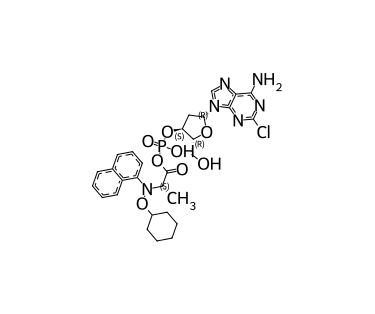 C[C@@H](C(=O)OP(=O)(O)O[C@H]1C[C@H](n2cnc3c(N)nc(Cl)nc32)O[C@@H]1CO)N(OC1CCCCC1)c1cccc2ccccc12